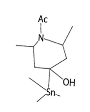 CC(=O)N1C(C)C[C](O)([Sn]([CH3])([CH3])[CH3])CC1C